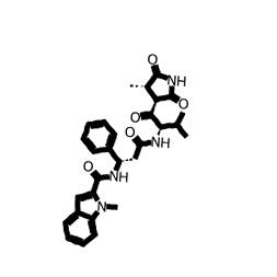 CC(C)[C@H](NC(=O)C[C@H](NC(=O)c1cc2ccccc2n1C)c1ccccc1)C(=O)[C@@H]1C(=O)NC(=O)[C@H]1C